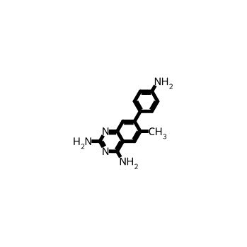 Cc1cc2c(N)nc(N)nc2cc1-c1ccc(N)cc1